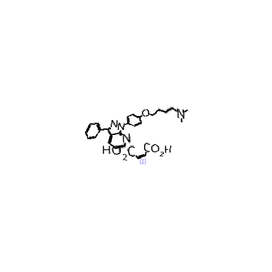 CN(C)CCCCOc1ccc(-n2nc(-c3ccccc3)c3cccnc32)cc1.O=C(O)/C=C\C(=O)O